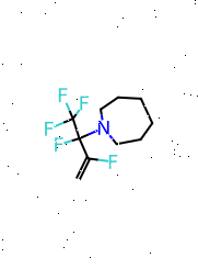 C=C(F)C(F)(N1CCCCCC1)C(F)(F)F